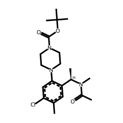 CC(=O)N(C)[C@H](C)c1cc(C)c(Cl)cc1N1CCN(C(=O)OC(C)(C)C)CC1